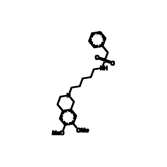 COc1cc2c(cc1OC)CN(CCCCCNS(=O)(=O)Cc1ccccc1)CC2